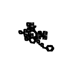 CC[Si](CC)(CC)O[C@@H]1C[C@]2(C)[C@@H](OCOCc3ccccc3)CCC(=O)[C@H]2[C@@H]2OC(=O)O[C@]23C[C@@H](O)C(C)=C1C3(C)C